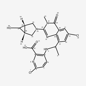 CC(Nc1ccc(Cl)nc1C(=O)O)c1cc(Cl)cc2c(=O)n(C)c(N3C[C@@H]4C(O)[C@@H]4C3)nc12